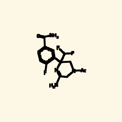 CC(=O)N1CC(N)=NC(c2cc(C(N)=O)ccc2F)(C(F)F)C1